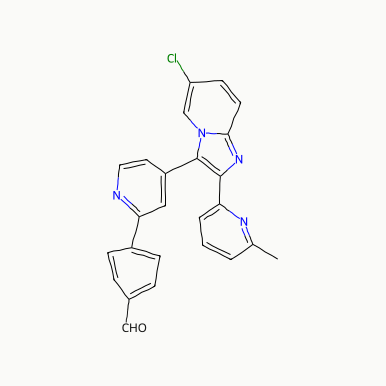 Cc1cccc(-c2nc3ccc(Cl)cn3c2-c2ccnc(-c3ccc(C=O)cc3)c2)n1